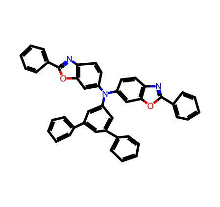 c1ccc(-c2cc(-c3ccccc3)cc(N(c3ccc4nc(-c5ccccc5)oc4c3)c3ccc4nc(-c5ccccc5)oc4c3)c2)cc1